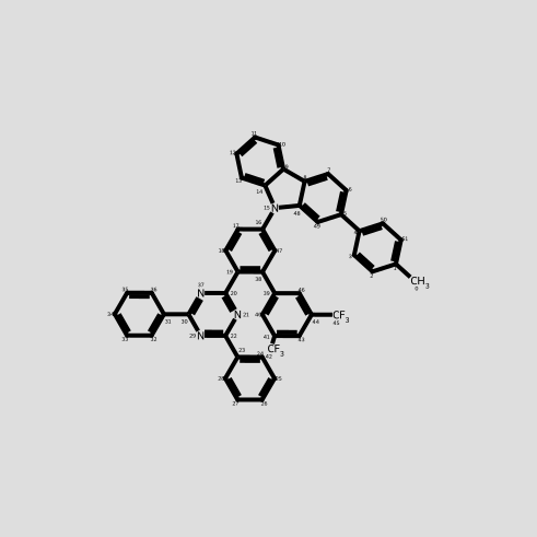 Cc1ccc(-c2ccc3c4ccccc4n(-c4ccc(-c5nc(-c6ccccc6)nc(-c6ccccc6)n5)c(-c5cc(C(F)(F)F)cc(C(F)(F)F)c5)c4)c3c2)cc1